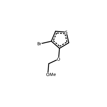 COCOc1cscc1Br